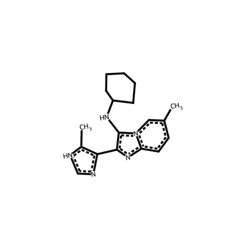 Cc1ccc2nc(-c3nc[nH]c3C)c(NC3CCCCC3)n2c1